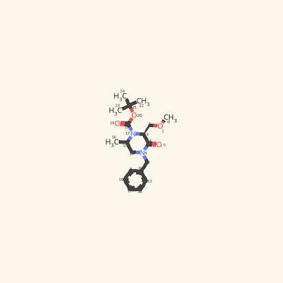 COC[C@H]1C(=O)N(Cc2ccccc2)CC(C)N1C(=O)OC(C)(C)C